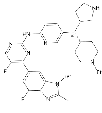 CCN1CCC([C@H](c2ccc(Nc3ncc(F)c(-c4cc(F)c5nc(C)n(C(C)C)c5c4)n3)nc2)C2CCNC2)CC1